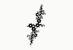 Cc1ccc(CCc2ccc(CC(C)C)c(-c3ccc4[nH]c([C@@H]5CCCN5C(=O)[C@@H](NC(=O)OCCF)C(C)C)nc4c3)c2)c(-c2ccc3[nH]c([C@@H]4CCCN4C(=O)[C@@H](NC(=O)OCCF)C(C)C)nc3c2)c1